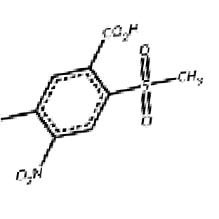 CS(=O)(=O)c1cc([N+](=O)[O-])c(Cl)cc1C(=O)O